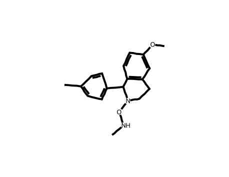 CNON1CCc2cc(OC)ccc2C1c1ccc(C)cc1